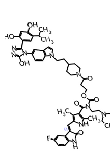 CCN(CC)CCN(C(=O)OCCC(=O)N1CCC(CCn2ccc3cc(-n4c(O)nnc4-c4cc(C(C)C)c(O)cc4O)ccc32)CC1)C(=O)c1c(C)[nH]c(/C=C2\C(=O)Nc3ccc(F)cc32)c1C